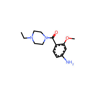 CCN1CCN(C(=O)c2ccc(N)cc2OC)CC1